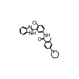 Cc1cc(N2CCCCC2)ccc1C(=O)Nc1ccc(Cl)c(-c2nc3ccccc3[nH]2)c1